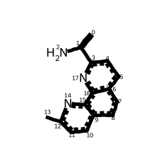 C=C(N)c1ccc2ccc3ccc(C)nc3c2n1